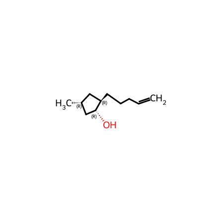 C=CCCC[C@@H]1C[C@@H](C)C[C@H]1O